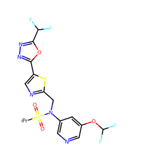 CC(C)S(=O)(=O)N(Cc1ncc(-c2nnc(C(F)F)o2)s1)c1cncc(OC(F)F)c1